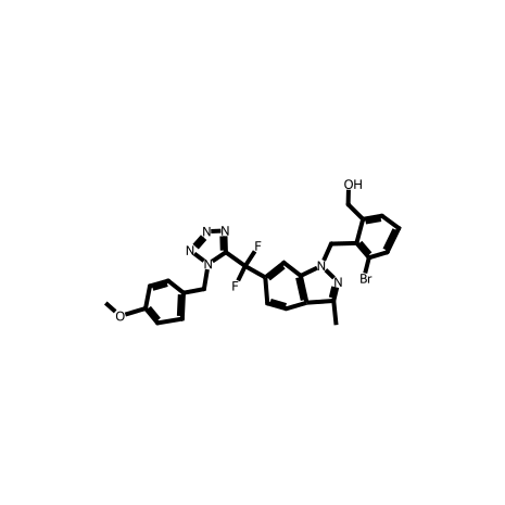 COc1ccc(Cn2nnnc2C(F)(F)c2ccc3c(C)nn(Cc4c(Br)cccc4CO)c3c2)cc1